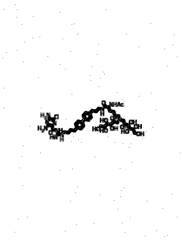 CC(=O)NC(CCCCN(CC(O)C(O)C(O)C(O)CO)CC(O)C(O)C(O)C(O)CO)C(=O)NCCCc1ccc(-c2ccc(CCCCNC(=N)NC(=O)c3nc(Cl)c(N)nc3N)cc2)cc1